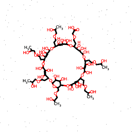 CC(O)COCCC1OC(O)/C(O)=C(/O)C(CCOCC(C)O)OC(O)/C(O)=C(\O)C(CCOCC(C)O)OC2OC(COCC(C)O)C(OC(O)/C(O)=C(/O)C(CCOCC(C)O)OC(O)/C(O)=C(\O)C(CCOCC(C)O)OC(O)C(O)C(O)C(CCOCC(=O)O)OC(O)/C(O)=C\1O)C(O)C2O